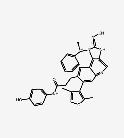 Cc1noc(C)c1-c1cc2ncc3[nH]/c(=N\C#N)n([C@H](C)c4ccccc4)c3c2cc1CCC(=O)Nc1ccc(O)cc1